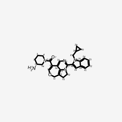 N[C@@H]1CCCN(C(=O)C2=COCC3=C4C2=CN=C(c2cc5ccccc5n2CC2CC2)N4CC3)C1